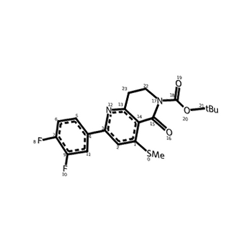 CSc1cc(-c2ccc(F)c(F)c2)nc2c1C(=O)N(C(=O)OC(C)(C)C)CC2